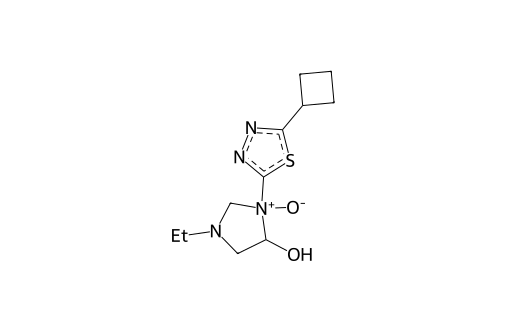 CCN1CC(O)[N+]([O-])(c2nnc(C3CCC3)s2)C1